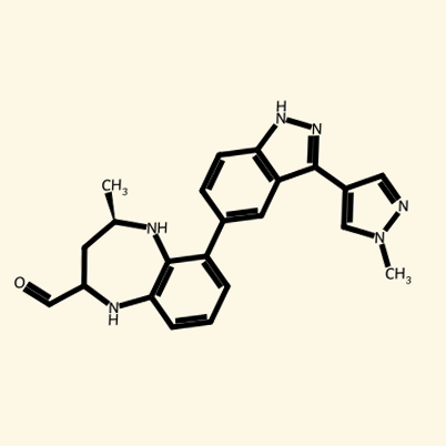 C[C@@H]1CC(C=O)Nc2cccc(-c3ccc4[nH]nc(-c5cnn(C)c5)c4c3)c2N1